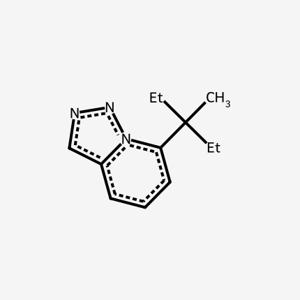 CCC(C)(CC)c1cccc2cnnn12